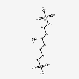 O=S([O-])(=S)OCCCCCCOS(=O)([O-])=S.[Ni+2]